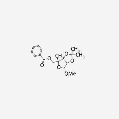 CO[C@@H]1O[C@](C)(COC(=O)c2ccccc2)C2OC(C)(C)OC21